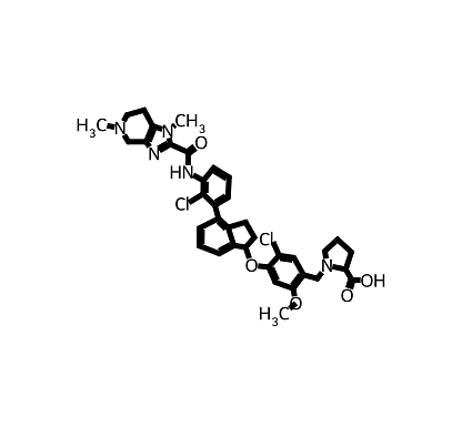 COc1cc(OC2CCc3c(-c4cccc(NC(=O)c5nc6c(n5C)CCN(C)C6)c4Cl)cccc32)c(Cl)cc1CN1CCCC1C(=O)O